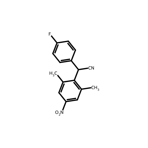 Cc1cc([N+](=O)[O-])cc(C)c1C(C#N)c1ccc(F)cc1